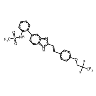 O=S(=O)(Nc1ccccc1-c1ccc2[nH]c(C=Cc3ccc(OCC(F)(F)C(F)(F)F)cc3)nc2c1)C(F)(F)F